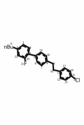 CCCCc1ccc(-c2ccc(CCc3ccc(Cl)cc3)cc2)c(F)c1